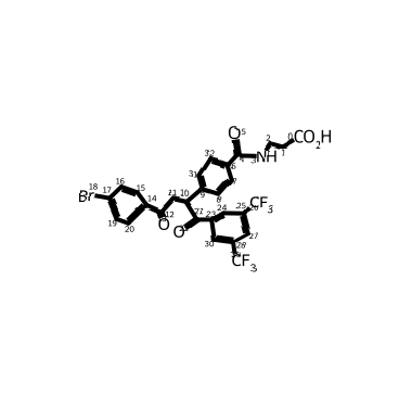 O=C(O)CCNC(=O)c1ccc(C(CC(=O)c2ccc(Br)cc2)C(=O)c2cc(C(F)(F)F)cc(C(F)(F)F)c2)cc1